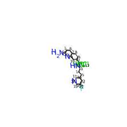 Cl.Cl.Cl.Nc1ccc2ccc(CNCCCc3cncc(F)c3)cc2n1